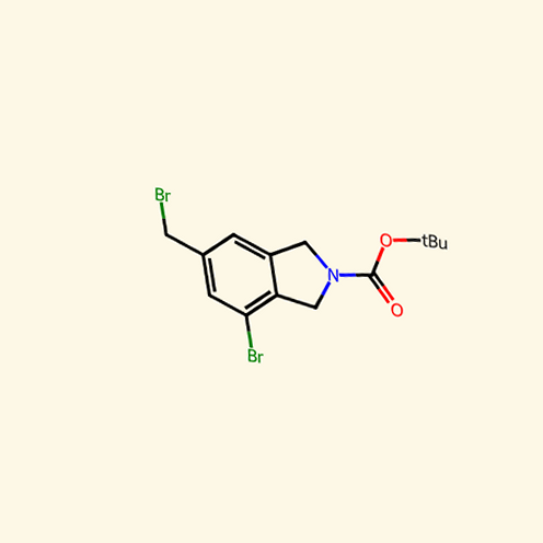 CC(C)(C)OC(=O)N1Cc2cc(CBr)cc(Br)c2C1